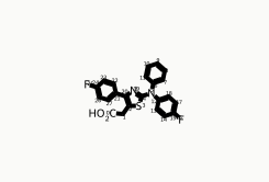 O=C(O)Cc1sc(N(c2ccccc2)c2ccc(F)cc2)nc1-c1ccc(F)cc1